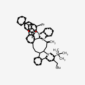 C=C1CC2C(CCc3ccc4c(oc5ccccc54)c3-c3n(-c4c(C(C)C)cc(-c5ccccc5)cc4C(C)C)c4ccccc4[n+]31)c1ccccc1-c1cc(CC(C)(C)C)c([Si](C)(C)C)c[n+]12